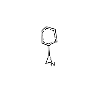 C1=NC1c1ccccc1